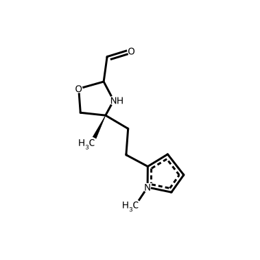 Cn1cccc1CC[C@]1(C)COC(C=O)N1